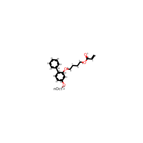 C=CC(=O)OCCCCOc1cc(OCCCCCCCC)ccc1-c1ccccc1